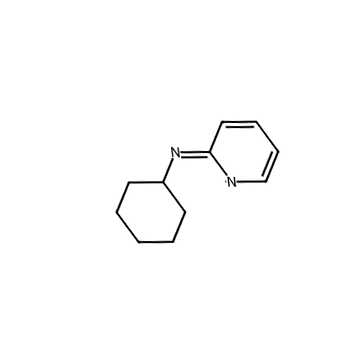 C1=C[N]/C(=N\C2CCCCC2)C=C1